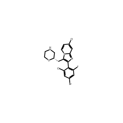 Fc1cc(Br)cc(Cl)c1-c1nc2cc(Cl)ccn2c1C[C@H]1CNCCO1